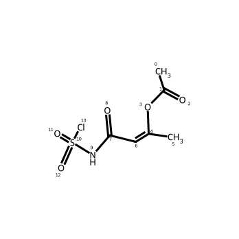 CC(=O)O/C(C)=C\C(=O)NS(=O)(=O)Cl